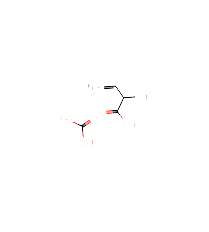 C=CC(C)C(=O)O.O=C(O)O